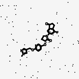 Cn1cc(COc2ccc(O[C@@H]3CCN(c4cc(F)c5c(c4)C(=O)CC5)C3=O)cn2)cn1